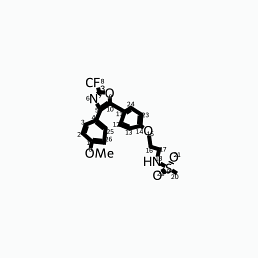 COc1ccc(-c2nc(C(F)(F)F)oc2-c2ccc(OCCNS(C)(=O)=O)cc2)cc1